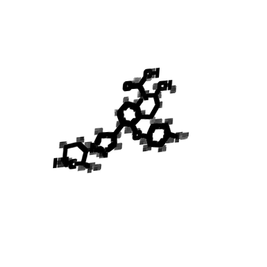 C[C@H]1CCc2c(ccc(-c3cnn([C@H]4CCNC[C@@H]4F)c3)c2Oc2ccc(F)cc2)N1C(=O)O